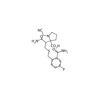 N#CCN1CCCC1(C(=O)O)C(CSCc1ccc(F)cc1C(N)=O)C(N)=O